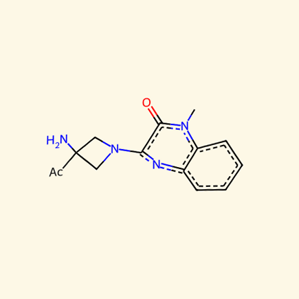 CC(=O)C1(N)CN(c2nc3ccccc3n(C)c2=O)C1